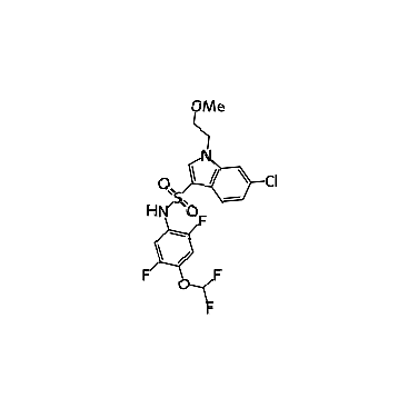 COCCn1cc(S(=O)(=O)Nc2cc(F)c(OC(F)F)cc2F)c2ccc(Cl)cc21